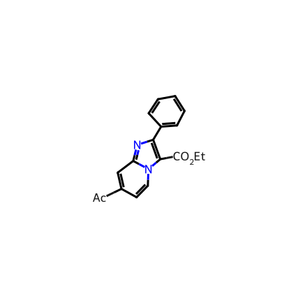 CCOC(=O)c1c(-c2ccccc2)nc2cc(C(C)=O)ccn12